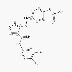 N=C(Nc1ccc(F)c(Cl)c1)c1nonc1CNc1ccc(CC(=O)O)cc1